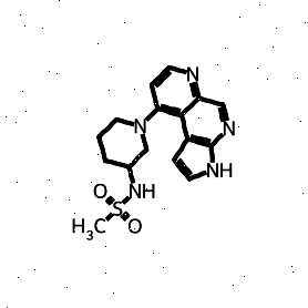 CS(=O)(=O)NC1CCCN(c2ccnc3cnc4[nH]ccc4c23)C1